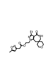 CCc1nn(CCOC(=O)Cc2cc(C)on2)c2c1C(=O)NCC1(CCOCC1)C2